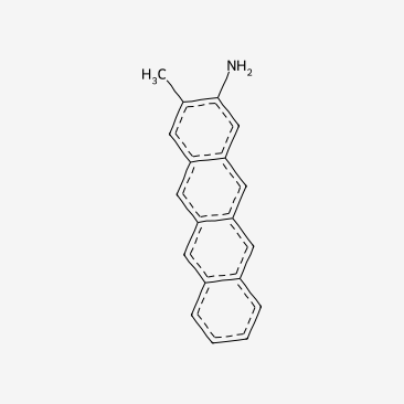 Cc1cc2cc3cc4ccccc4cc3cc2cc1N